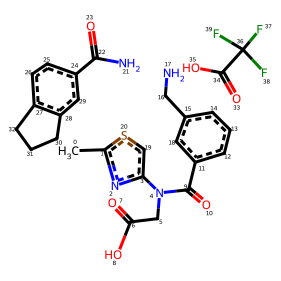 Cc1nc(N(CC(=O)O)C(=O)c2cccc(CN)c2)cs1.NC(=O)c1ccc2c(c1)CCC2.O=C(O)C(F)(F)F